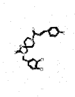 O=C(/C=C/c1ccc(Cl)cc1)N1CCC2(CC1)CN(Cc1ccc(Cl)c(Cl)c1)C(=O)O2